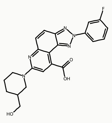 O=C(O)c1cc(N2CCCC(CO)C2)nc2ccc3nn(-c4cccc(F)c4)nc3c12